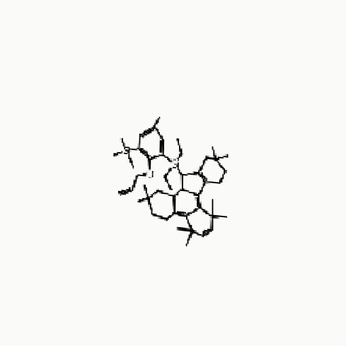 C=CCOc1c([Si](C)(C)C)cc(C)cc1[Si](CC)(CC)C1C2=C(CCC(C)(C)C2)C2=C3C(=C4CCC(C)(C)CC4C21)C(C)(C)C=CC3(C)C